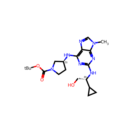 Cn1cnc2c(N[C@H]3CCN(C(=O)OC(C)(C)C)C3)nc(N[C@@H](CO)C3CC3)nc21